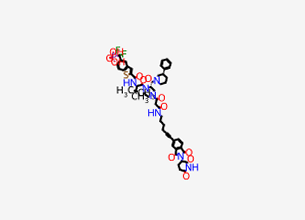 CC(C)(C)[C@H](NC(=O)c1cc2cc(C(F)(F)P(=O)(O)O)ccc2s1)C(=O)N1CCN(C(=O)CC(=O)NCCCCC#Cc2ccc3c(c2)C(=O)N(C2CCC(=O)NC2=O)C3=O)C[C@H]1C(=O)N1CCC[C@H](c2ccccc2)C1